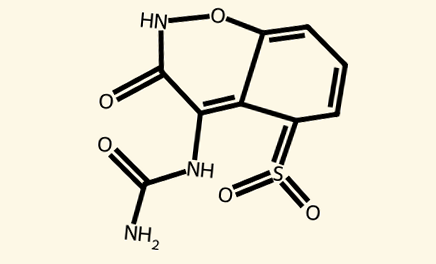 NC(=O)Nc1c2c(=S(=O)=O)cccc-2o[nH]c1=O